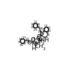 CC(C)(CC(=O)NC1CCc2ccccc2N(CCc2ccccc2)C1=O)NC(=O)OCc1ccccc1